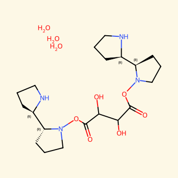 O.O.O.O=C(ON1CCC[C@@H]1[C@H]1CCCN1)C(O)C(O)C(=O)ON1CCC[C@@H]1[C@H]1CCCN1